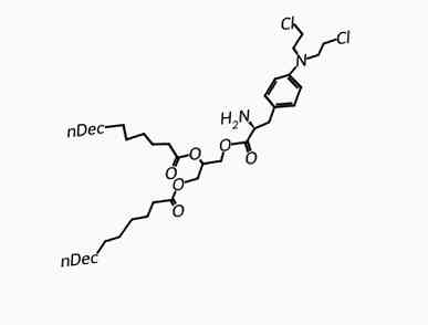 CCCCCCCCCCCCCCCC(=O)OCC(COC(=O)[C@@H](N)Cc1ccc(N(CCCl)CCCl)cc1)OC(=O)CCCCCCCCCCCCCCC